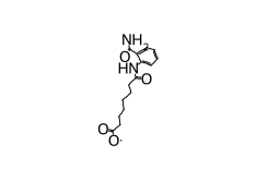 NC(=O)c1ccccc1NC(=O)CCCCCCC([O])=O